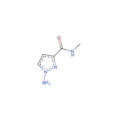 CNC(=O)c1ccn(N)n1